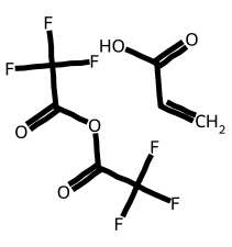 C=CC(=O)O.O=C(OC(=O)C(F)(F)F)C(F)(F)F